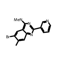 CNc1nc(-c2cccnc2)nc2cc(C)c(Br)cc12